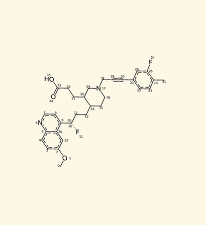 COc1ccc2nccc([C@@H](F)CCC3CCN(CC#Cc4ccc(C)c(F)c4)CC3CCC(=O)O)c2c1